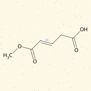 COC(=O)/C=C/CC(=O)O